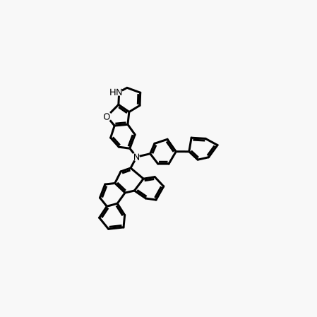 C1=Cc2c(oc3ccc(N(c4ccc(-c5ccccc5)cc4)c4cc5ccc6ccccc6c5c5ccccc45)cc23)NC1